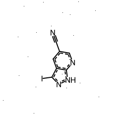 N#Cc1cnc2[nH]nc(I)c2c1